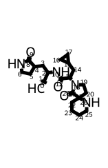 C#CC(CC1CCNC1=O)NC(=O)C(CC1CC1)N1CCC2(CCCCN2)C1=O